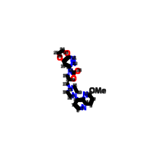 COc1ccc2nccc(N3CCN(C[C@@H]4CN(c5cc6c(nn5)OCCO6)C(=O)O4)CC3)c2n1